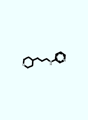 c1cncc(NCCCC2CCOCC2)c1